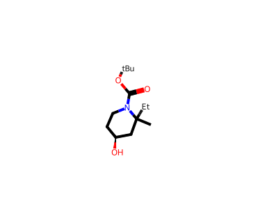 CCC1(C)C[C@@H](O)CCN1C(=O)OC(C)(C)C